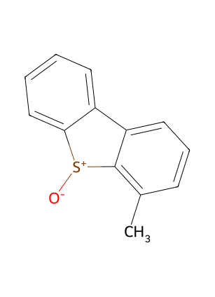 Cc1cccc2c3ccccc3[s+]([O-])c12